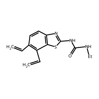 C=Cc1ccc2nc(NC(=O)NCC)sc2c1C=C